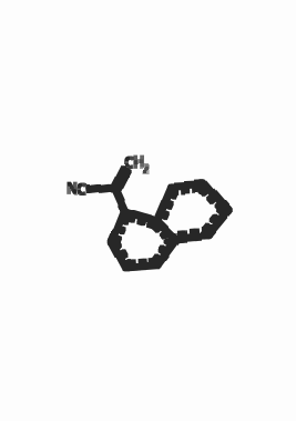 C=C(C#N)c1cccc2ccccc12